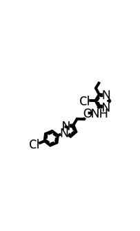 CCc1ncnc(NOCCc2ccn(-c3ccc(Cl)cc3)n2)c1Cl